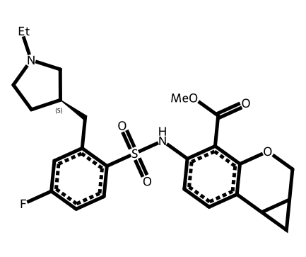 CCN1CC[C@H](Cc2cc(F)ccc2S(=O)(=O)Nc2ccc3c(c2C(=O)OC)OCC2CC32)C1